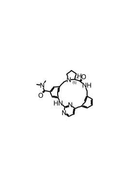 CN(C)C(=O)c1cc2cc(c1)Nc1nccc(n1)-c1cccc(c1)CNC(=O)[C@@H]1CCCN1C2